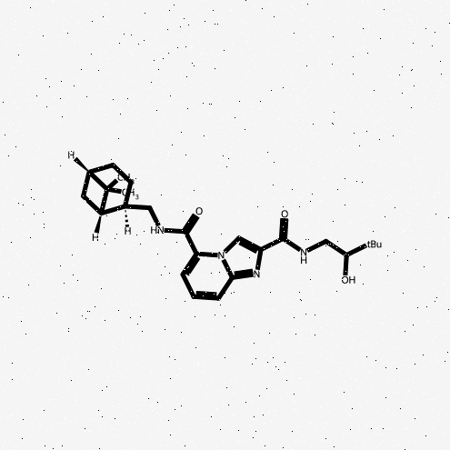 CC(C)(C)C(O)CNC(=O)c1cn2c(C(=O)NC[C@@H]3CC[C@H]4C[C@@H]3C4(C)C)cccc2n1